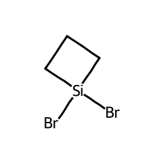 Br[Si]1(Br)CCC1